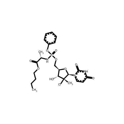 CCCCOC(=O)[C@H](C)NP(=O)(OC[C@H]1O[C@@H](n2ccc(=O)[nH]c2=O)[C@](C)(Cl)[C@@H]1O)Oc1ccccc1